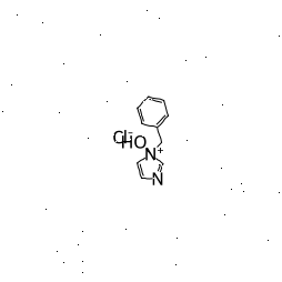 O[N+]1(Cc2ccccc2)C=CN=C1.[Cl-]